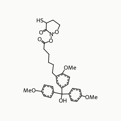 COc1ccc(C(O)(c2ccc(OC)cc2)c2ccc(OC)c(CCCCCC(=O)ON3OCCC(S)C3=O)c2)cc1